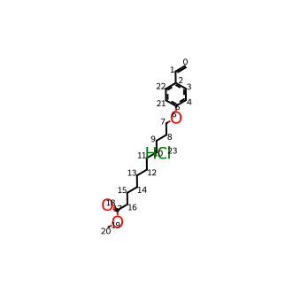 C=Cc1ccc(OCCCCCCCCCCC(=O)OC)cc1.Cl